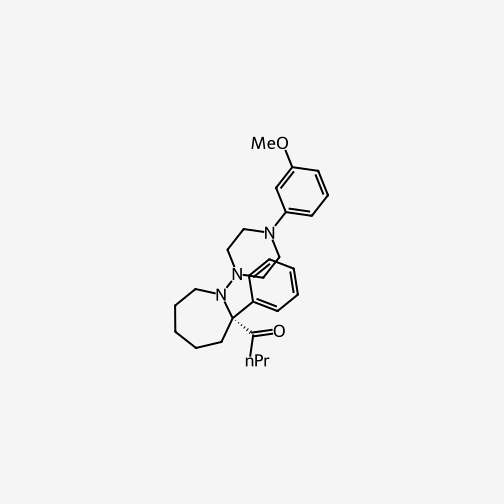 CCCC(=O)[C@]1(c2ccccc2)CCCCCN1N1CCN(c2cccc(OC)c2)CC1